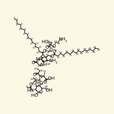 CCCCCCCCCCCCCCCC(=O)OC([C@H](COP(=O)(OO)OCCN)OC(=O)CCCCCCCCCCCCCCC)[C@@](C)(N)C(=O)N[C@H](CCC(=O)N(CC(C)O[C@H]1[C@H](O)[C@@H](CO)O[C@H](O)[C@@H]1NC(C)=O)[C@@H](C)C(=O)O)C(N)=O